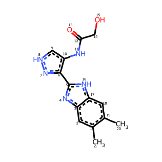 Cc1cc2nc(-c3n[nH]cc3NC(=O)CO)[nH]c2cc1C